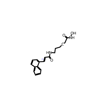 O=C(/C=C/c1cccc2ccccc12)NCCCCCC(=O)NO